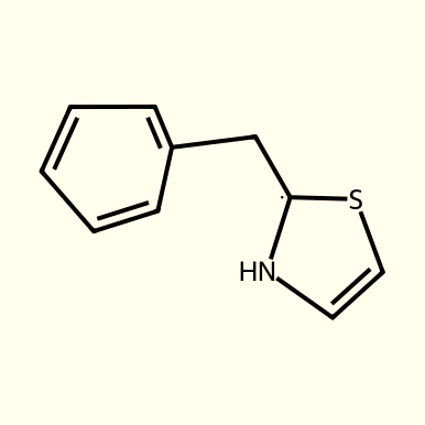 C1=CS[C](Cc2ccccc2)N1